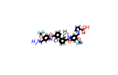 Cc1c(-c2nc3cc(CN)c(OC(F)F)cc3o2)cccc1-c1cccc(-c2nc3cc(CN4CCC[C@H]4C(=O)O)c(OC(F)F)cc3o2)c1C